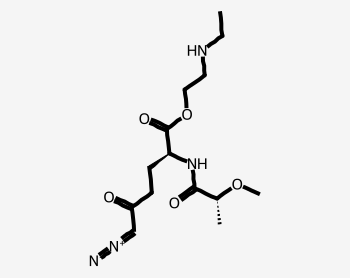 CCNCCOC(=O)[C@H](CCC(=O)C=[N+]=[N-])NC(=O)[C@@H](C)OC